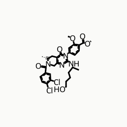 COC(=O)c1ccc(-n2c(NC(C)CCCCO)nc3c(c2=O)C[C@@H](C)N(C(=O)c2ccc(Cl)c(Cl)c2)C3)cc1OC